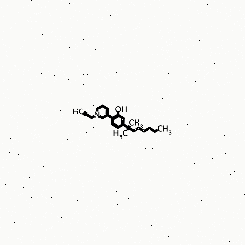 C#CCN1CCC=C(c2ccc(C(C)(C)CCCCCC)cc2O)C1